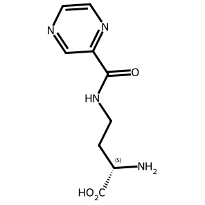 N[C@@H](CCNC(=O)c1cnccn1)C(=O)O